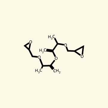 C=C(OC(=C)C(C)OCC1CO1)C(C)OCC1CO1